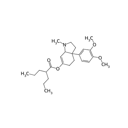 CCCC(CCC)C(=O)OC1=CC2N(C)CCC2(c2ccc(OC)c(OC)c2)CC1